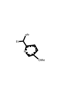 CCCC(CC)c1ccc(OC)cn1